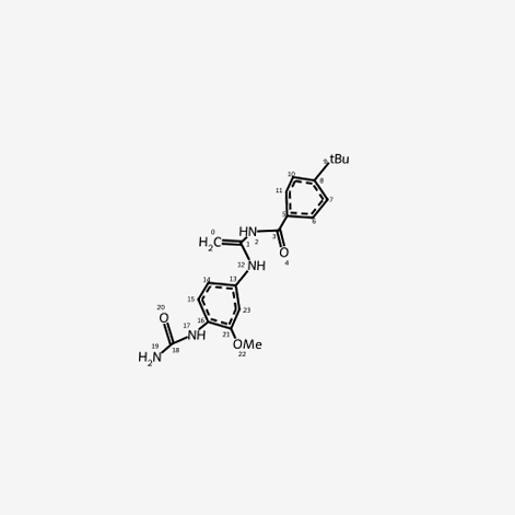 C=C(NC(=O)c1ccc(C(C)(C)C)cc1)Nc1ccc(NC(N)=O)c(OC)c1